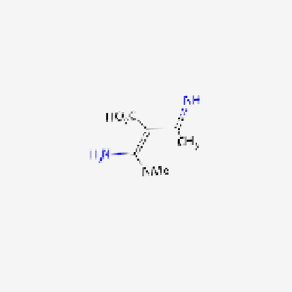 CN/C(N)=C(\C(C)=N)C(=O)O